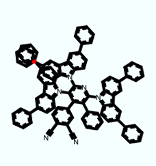 N#Cc1ccc(-c2c(-c3ccccc3)c(-n3c4ccc(-c5ccccc5)cc4c4cc(-c5ccccc5)ccc43)nc(-n3c4ccc(-c5ccccc5)cc4c4cc(-c5ccccc5)ccc43)c2-n2c3ccc(-c4ccccc4)cc3c3cc(-c4ccccc4)ccc32)cc1C#N